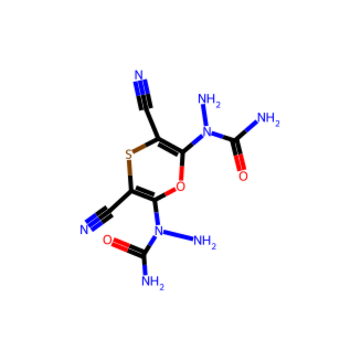 N#CC1=C(N(N)C(N)=O)OC(N(N)C(N)=O)=C(C#N)S1